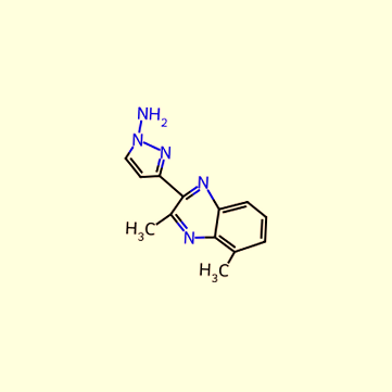 Cc1nc2c(C)cccc2nc1-c1ccn(N)n1